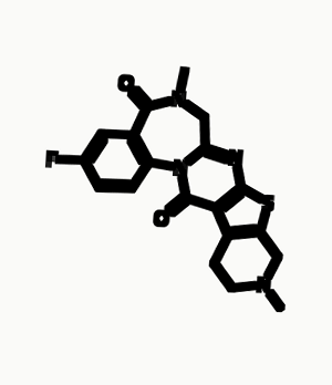 CN1CCc2c(sc3nc4n(c(=O)c23)-c2ccc(F)cc2C(=O)N(C)C4)C1